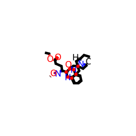 CCOC(=O)CCC(=NOC)c1nc2ccccc2n(C2CC3CCC[C@H](C2)N3C2CC3CCCC(C3)C2)c1=O